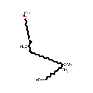 CCCCCCCCCCCCCCCCCC[C@H](C)[C@H](CCCCCCCCCCCCC/C=C\C[C@H](C)[C@H]1C[C@@H]1CCCCCCCCCOC(=O)C(C)(C)C)OC